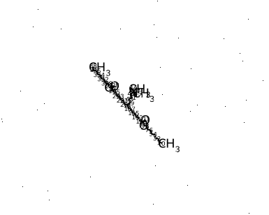 CCCCCCCCCOC(=O)CCCCCCCC(CCCCCCCC(=O)OCCCCCCCCC)CCCCN(C)C